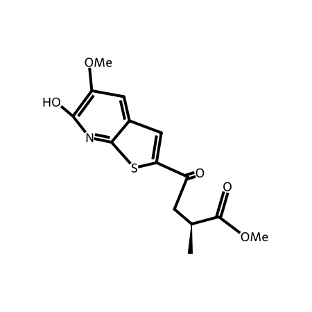 COC(=O)[C@@H](C)CC(=O)c1cc2cc(OC)c(O)nc2s1